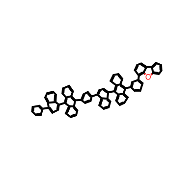 c1ccc(-c2ccc(-c3c4ccccc4c(-c4ccc(-c5ccc(-c6c7ccccc7c(-c7cccc(-c8cccc9c8oc8ccccc89)c7)c7ccccc67)c6ccccc56)cc4)c4ccccc34)c3ccccc23)cc1